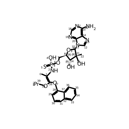 CC(N[P@@](O)(=S)OC[C@H]1O[C@@H](n2cnc3c(N)ncnc32)[C@](C)(O)[C@@H]1O)=C(Oc1cccc2ccccc12)OC(C)C